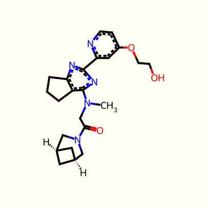 CN(CC(=O)N1C[C@H]2C[C@@H](C1)C2)c1nc(-c2cc(OCCO)ccn2)nc2c1CCC2